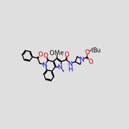 COc1c(C(=O)NC2CN(C(=O)OC(C)(C)C)C2)n(C)c2c1c(=O)n(CC(=O)c1ccccc1)c1ccccc21